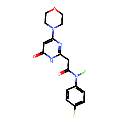 O=C(Cc1nc(N2CCOCC2)cc(=O)[nH]1)N(F)c1ccc(F)cc1